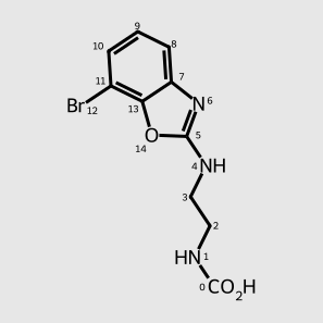 O=C(O)NCCNc1nc2cccc(Br)c2o1